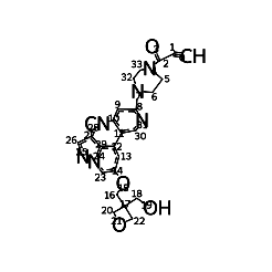 C#CC(=O)N1CCN(c2ccc(-c3cc(OCC4(CO)COC4)cn4ncc(C#N)c34)cn2)CC1